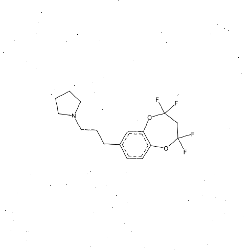 FC1(F)CC(F)(F)Oc2cc(CCCN3CCCC3)ccc2O1